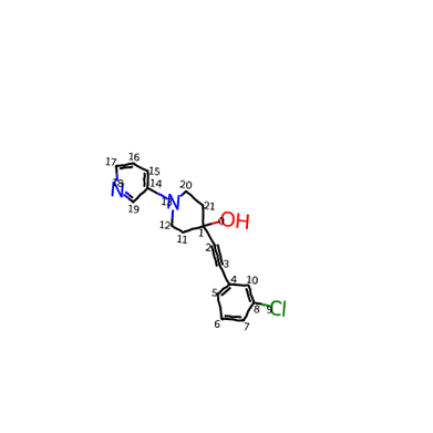 OC1(C#Cc2cccc(Cl)c2)CCN(c2cccnc2)CC1